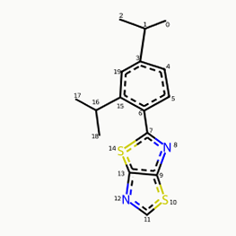 CC(C)c1ccc(-c2nc3scnc3s2)c(C(C)C)c1